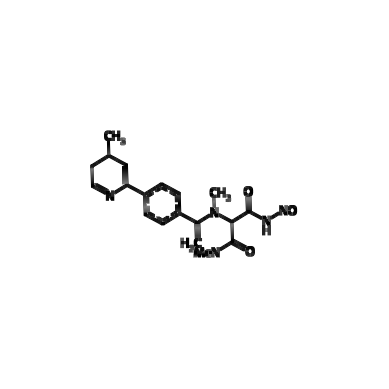 C=C(c1ccc(C2=CC(C)CC=N2)cc1)N(C)C(C(=O)NC)C(=O)NN=O